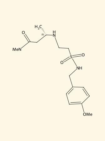 CNC(=O)C[C@H](C)NCCS(=O)(=O)NCc1ccc(OC)cc1